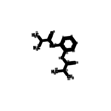 CC(C)C(=O)Nc1ccccc1OC(=O)C(C)C